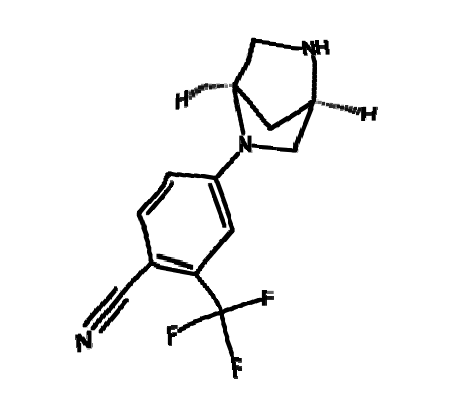 N#Cc1ccc(N2C[C@H]3C[C@@H]2CN3)cc1C(F)(F)F